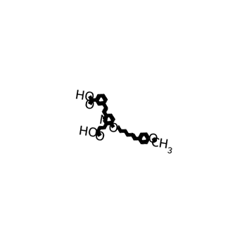 COc1ccc(C=CCCCCOc2ccc(C=Cc3cccc(C(=O)O)c3)nc2CCC(=O)O)cc1